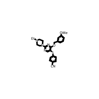 CCN1CCN(c2ncc(Sc3ccc(C#N)cc3)c(OCc3cccc(OC)c3)n2)CC1